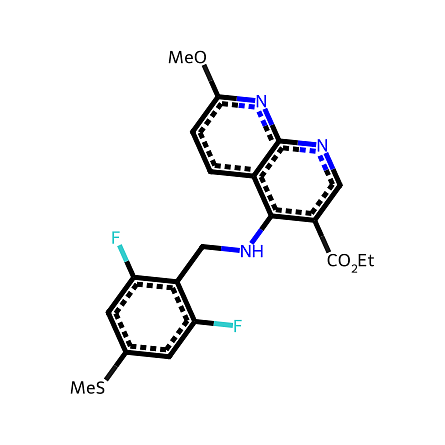 CCOC(=O)c1cnc2nc(OC)ccc2c1NCc1c(F)cc(SC)cc1F